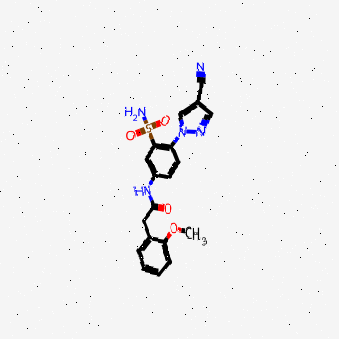 COc1ccccc1CC(=O)Nc1ccc(-n2cc(C#N)cn2)c(S(N)(=O)=O)c1